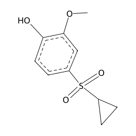 COc1cc(S(=O)(=O)C2CC2)ccc1O